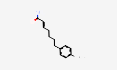 COc1ccc(CCCCC=CC(N)=O)cc1